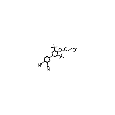 COCCOCOc1c(C(C)(C)C)cc(-c2ccc(C#N)c(C#N)c2)cc1C(C)(C)C